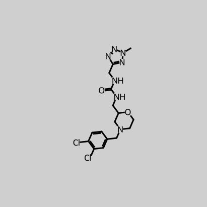 Cn1nnc(CNC(=O)NCC2CN(Cc3ccc(Cl)c(Cl)c3)CCO2)n1